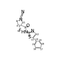 N#CN1CC[C@](F)(C(=O)Nc2ncc(-c3ccccc3)s2)C1